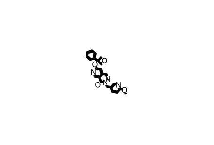 COc1ccc(Cn2ncc3cc(OC4(c5ccccc5)COC4)ncc3c2=O)cn1